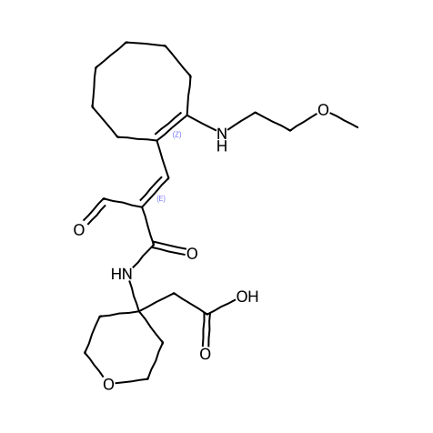 COCCN/C1=C(\C=C(/C=O)C(=O)NC2(CC(=O)O)CCOCC2)CCCCCC1